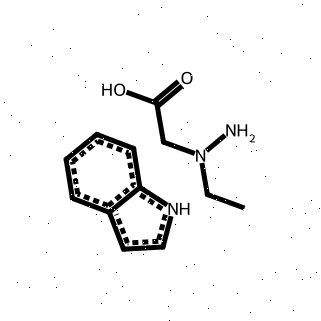 CCN(N)CC(=O)O.c1ccc2[nH]ccc2c1